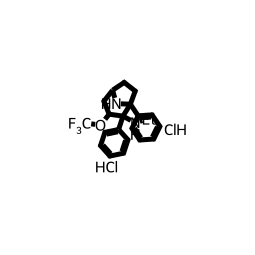 CCNC1(c2ccccc2)C(OC(F)(F)F)CC2CCC1(c1ccccc1)N2.Cl.Cl